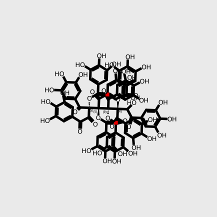 O=C(O[C@](C(=O)C(=O)c1cc(O)c(O)c(O)c1)(C(=O)c1cc(O)c(O)c(O)c1)[C@](OC(=O)c1cc(O)c(O)c(O)c1)(C(=O)c1cc(O)c(O)c(O)c1)[C@@](OC(=O)c1cc(O)c(O)c(O)c1)(C(=O)c1cc(O)c(O)c(O)c1)[C@@](OC(=O)c1cc(O)c(O)c(O)c1)(C(=O)c1cc(O)c(O)c(O)c1)C(O)C(=O)c1cc(O)c(O)c(O)c1)c1cc(O)c(O)c(O)c1